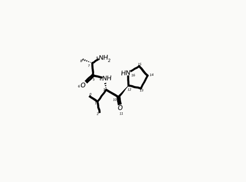 CC(C)[C@H](NC(=O)[C@H](C)N)C(=O)[C@@H]1CCCN1